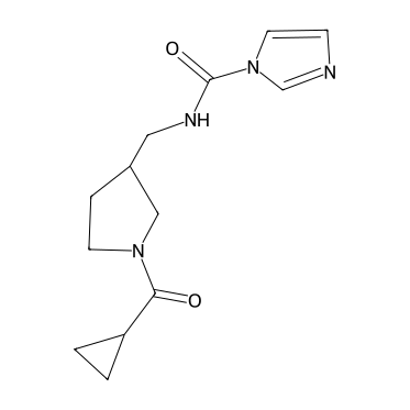 O=C(C1CC1)N1CCC(CNC(=O)n2ccnc2)C1